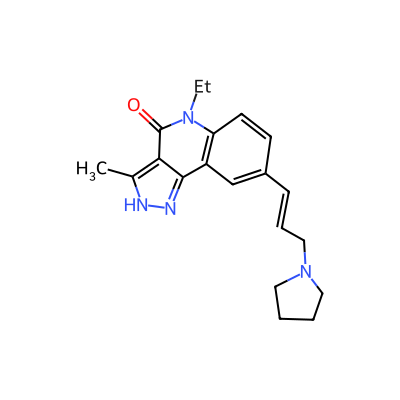 CCn1c(=O)c2c(C)[nH]nc2c2cc(C=CCN3CCCC3)ccc21